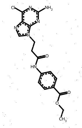 CCOC(=O)c1ccc(NC(=O)CCn2cnc3c(Cl)nc(N)nc32)cc1